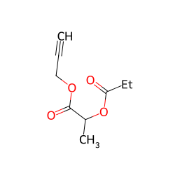 C#CCOC(=O)C(C)OC(=O)CC